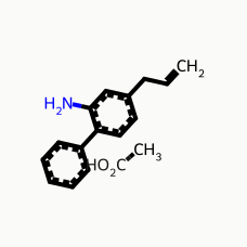 C=CCc1ccc(-c2ccccc2)c(N)c1.CC(=O)O